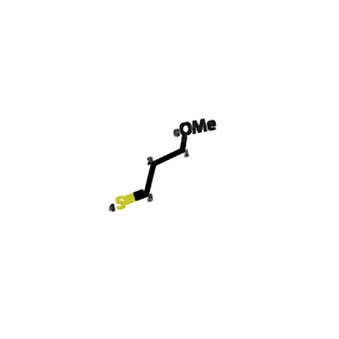 COCCC=S